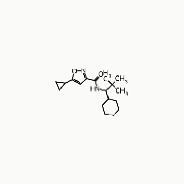 CC(C)(C)C(NC(=O)c1cc(C2CC2)on1)C1CCCCC1